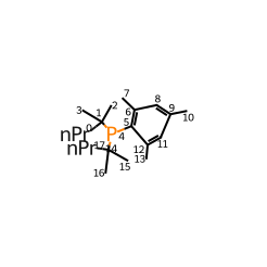 CCCC(C)(C)P(c1c(C)cc(C)cc1C)C(C)(C)CCC